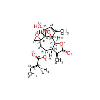 C=C1C(=O)O[C@H]2[C@H]1[C@H](OC(=O)/C(C)=C/C)C[C@]1(CO1)[C@@H]1[C@H](O)C=C(C)[C@]21O